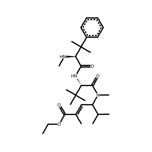 CCOC(=O)/C(C)=C/C(C(C)C)N(C)C(=O)[C@@H](NC(=O)[C@@H](NC)C(C)(C)c1ccccc1)C(C)(C)C